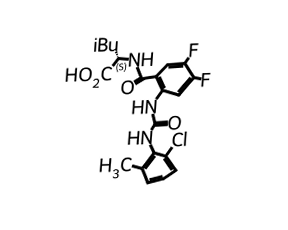 CCC(C)[C@H](NC(=O)c1cc(F)c(F)cc1NC(=O)Nc1c(C)cccc1Cl)C(=O)O